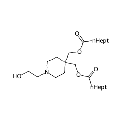 CCCCCCCC(=O)OCC1(COC(=O)CCCCCCC)CCN(CCO)CC1